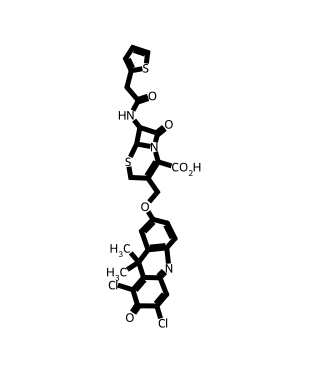 CC1(C)C2=C(Cl)C(=O)C(Cl)=CC2=Nc2ccc(OCC3=C(C(=O)O)N4C(=O)C(NC(=O)Cc5cccs5)C4SC3)cc21